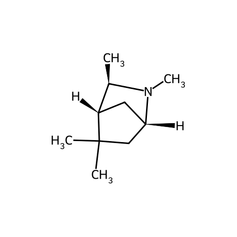 C[C@@H]1[C@@H]2C[C@@H](CC2(C)C)N1C